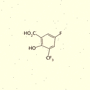 O=C(O)c1cc(F)cc(C(F)(F)F)c1O